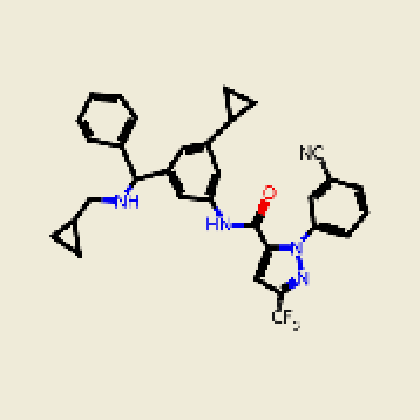 N#Cc1cccc(-n2nc(C(F)(F)F)cc2C(=O)Nc2cc(C3CC3)cc(C(NCC3CC3)c3ccccc3)c2)c1